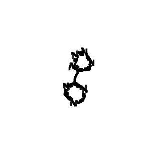 c1ncnc(-c2cnnnn2)n1